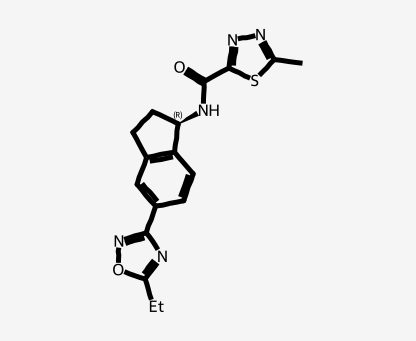 CCc1nc(-c2ccc3c(c2)CC[C@H]3NC(=O)c2nnc(C)s2)no1